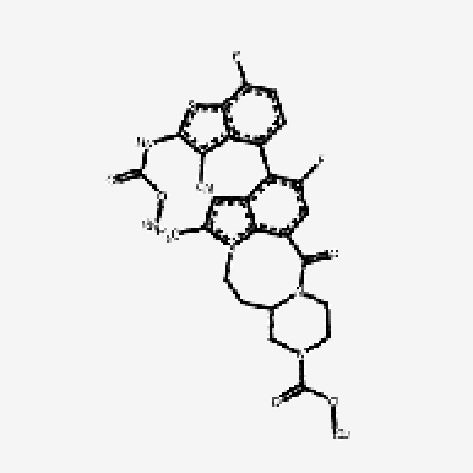 Cc1cc2c(-c3ccc(F)c4sc(NC(=O)OC(C)(C)C)c(C#N)c34)c(F)cc3c2n1CCC1CN(C(=O)OC(C)(C)C)CCN1C3=O